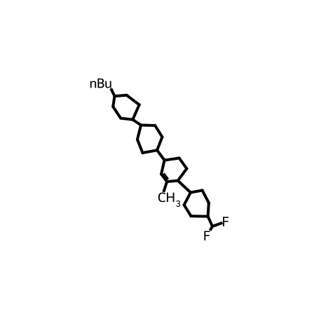 CCCCC1CCC(C2CCC(C3C=C(C)C(C4CCC(C(F)F)CC4)CC3)CC2)CC1